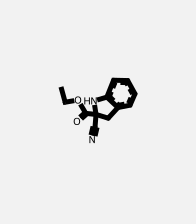 CCOC(=O)C1(C#N)Cc2ccccc2N1